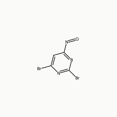 O=Nc1bc(Br)nc(Br)c1